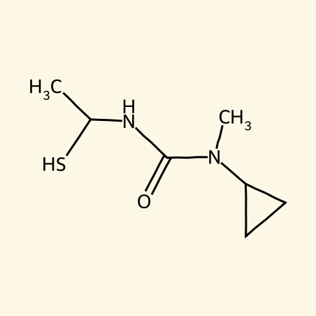 CC(S)NC(=O)N(C)C1CC1